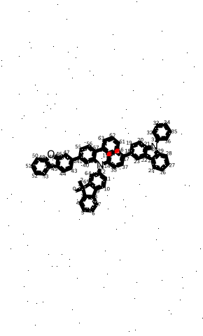 CC1(C)c2ccccc2-c2ccc(N(c3ccc(-c4ccc5c(c4)c4ccccc4n5-c4ccccc4)cc3)c3cc(-c4ccc5c(c4)oc4ccccc45)ccc3-c3ccccc3)cc21